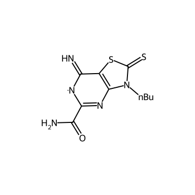 CCCCn1c2c(sc1=S)C(=N)[N]C(C(N)=O)=N2